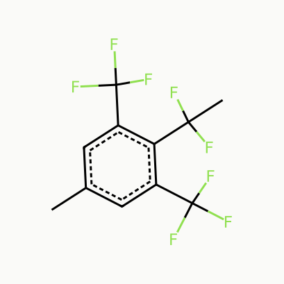 Cc1cc(C(F)(F)F)c(C(C)(F)F)c(C(F)(F)F)c1